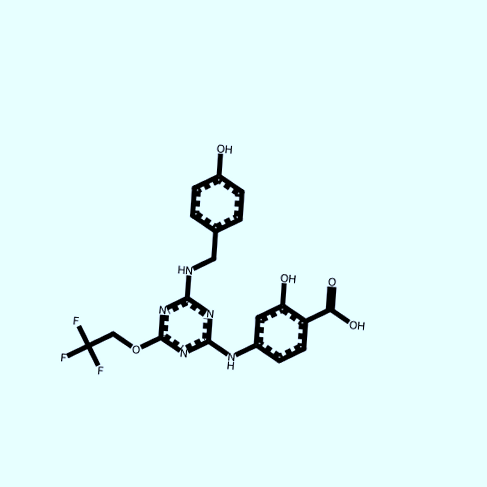 O=C(O)c1ccc(Nc2nc(NCc3ccc(O)cc3)nc(OCC(F)(F)F)n2)cc1O